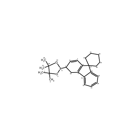 CC1(C)OB(C2C=CC3=C(C2)c2ccccc2C32CCCCC2)OC1(C)C